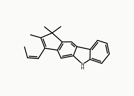 C/C=C\C1=C(C)C(C)(C)c2cc3c(cc21)[nH]c1ccccc13